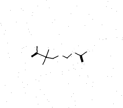 CC(C)(COCNC(=N)N)C(=O)O